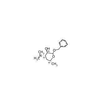 C[C@@H]1C[C@H](N(C)C)[C@@H](O)C(OCc2ccccc2)O1